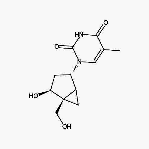 Cc1cn([C@H]2C[C@H](O)[C@@]3(CO)CC23)c(=O)[nH]c1=O